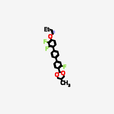 CC/C=C\Oc1ccc(-c2ccc(-c3ccc(C4OCC(C)CO4)c(F)c3)cc2)c(F)c1F